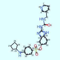 O=C(NCc1cccnc1)Nc1nc2cc(OS(=O)(=O)c3ccc(NC4CCCC4)cc3)ccc2[nH]1